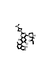 C=CC(=O)C1(C)CN(c2nc(N3CC(N(C)C)C3)nc3c(F)c(-c4c(C)ccc5cn[nH]c45)c(Cl)cc23)CCN1